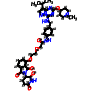 CC(C)c1cnn2c(NCc3ccc(NC(=O)COCCOc4cccc5c4C(=O)N(C4CCC(=O)NC4=O)C5=O)cc3)nc(OC3CCN(C)CC3)nc12